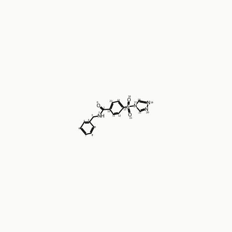 O=C(NCc1ccccc1)c1ccc(S(=O)(=O)n2cnnc2)cc1